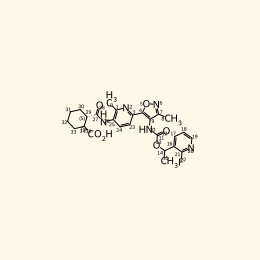 Cc1nc(-c2onc(C)c2NC(=O)OC(C)c2cccnc2F)ccc1NC(=O)[C@H]1CCCC[C@@H]1C(=O)O